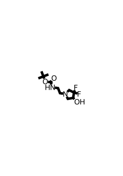 CC(C)(C)OC(=O)NCCN1CC(O)C(F)(F)C1